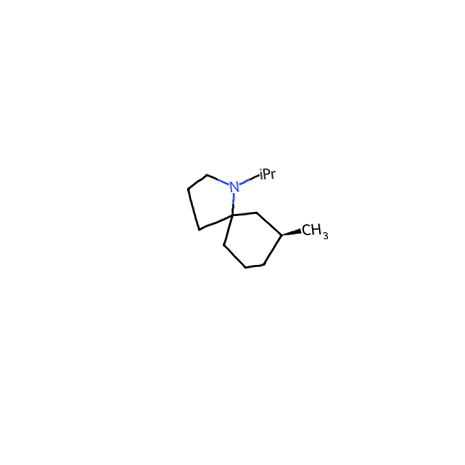 CC(C)N1CCCC12CCC[C@H](C)C2